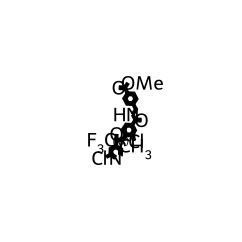 COC(=O)c1ccc(CNC(=O)c2ccc([C@@H](C)[C@@](O)(c3ccnc(Cl)c3)C(F)(F)F)c(Cl)c2)cc1